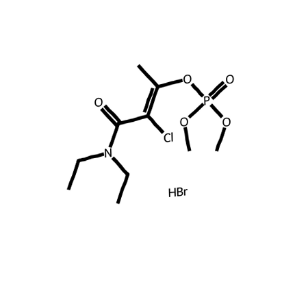 Br.CCN(CC)C(=O)/C(Cl)=C(\C)OP(=O)(OC)OC